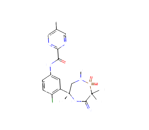 CN1C[C@@](C)(c2cc(NC(=O)c3ncc(C(F)(F)F)cn3)ccc2F)NC(=N)C(C)(C)S1(=O)=O